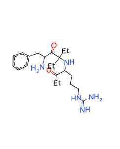 CCC(=O)C(CCCNC(=N)N)NC(CC)(CC)C(=O)C(N)Cc1ccccc1